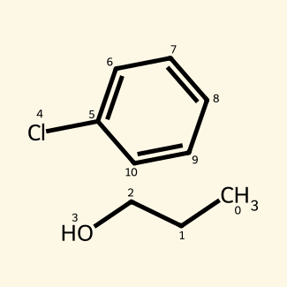 CCCO.Clc1ccccc1